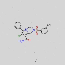 N#Cc1cccc(S(=O)(=O)N2CCn3c(c(C(N)=O)c(Cl)c3-c3ccccc3)C2)c1